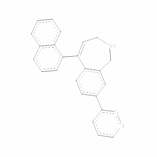 C1=C(c2cccc3ccccc23)c2ccc(-c3cccnn3)cc2CNC1